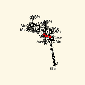 COC(=O)[C@H]1O[C@@H](OC2[C@@H](COS(=O)(=O)OC)O[C@H](O[C@H]3[C@H](OC)[C@@H](OC)[C@H](O[C@H]4[C@H](OS(=O)(=O)OC)[C@@H](OS(=O)(=O)OC)[C@@H](OC)O[C@@H]4COS(=O)(=O)OC)O[C@H]3C(=O)OC)[C@H](OS(=O)(=O)OC)[C@H]2OS(=O)(=O)OC)[C@H](OC)[C@@H](OC)[C@@H]1O[C@H]1O[C@H](COS(=O)(=O)OC)C(OCCOCCOCCOCCCC(=O)CSC(C)(C)C)[C@H](OC)[C@H]1OC